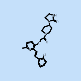 Cc1ccc(OCC(=O)N2CCC(N3CCNC3=O)CC2)c(C=Cc2ccccc2Cl)n1